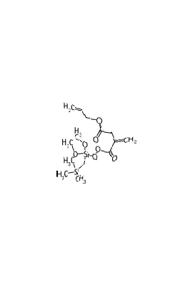 C=CCOC(=O)CC(=C)C(=O)OO[Si](C[Si](C)(C)C)(OC)OC